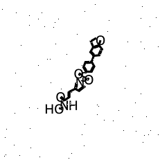 O=C(/C=C/c1ccn(S(=O)(=O)c2ccc(-c3ccc4c(c3)CCO4)cc2)c1)NO